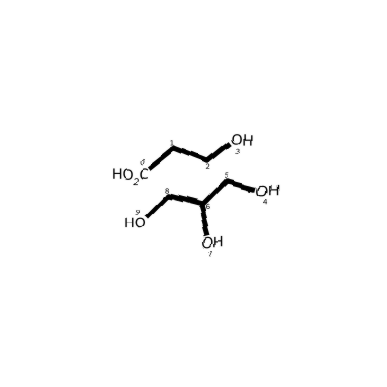 O=C(O)CCO.OCC(O)CO